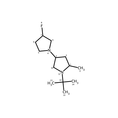 CC1CC(N2CCC(F)C2)CN1C(C)(C)C